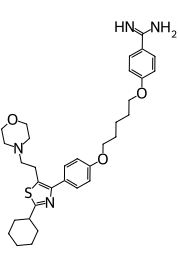 N=C(N)c1ccc(OCCCCCOc2ccc(-c3nc(C4CCCCC4)sc3CCN3CCOCC3)cc2)cc1